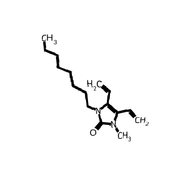 C=Cc1c(C=C)n(CCCCCCCC)c(=O)n1C